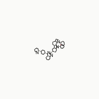 c1ccc(-n2ccc3ccc4c5cc(-c6nc(-c7ccc(-c8ccccn8)cc7)c7ccccc7n6)ccc5n(-c5ccccc5)c4c32)cc1